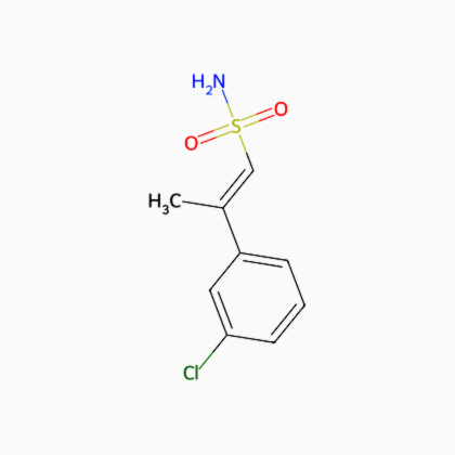 C/C(=C\S(N)(=O)=O)c1cccc(Cl)c1